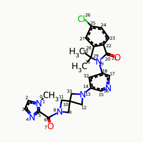 Cn1ccnc1C(=O)N1CC2(C1)CN(c1cncc(N3C(=O)c4ccc(Cl)cc4C3(C)C)c1)C2